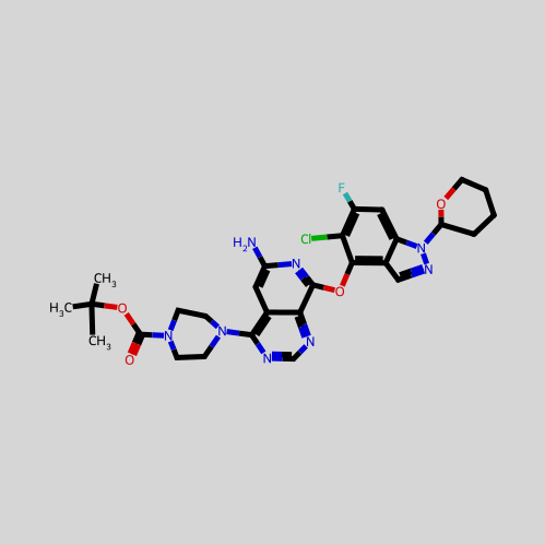 CC(C)(C)OC(=O)N1CCN(c2ncnc3c(Oc4c(Cl)c(F)cc5c4cnn5C4CCCCO4)nc(N)cc23)CC1